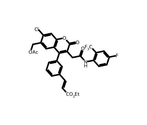 CCOC(=O)C=Cc1cccc(-c2c(CC(=O)Nc3ccc(F)cc3C(F)(F)F)c(=O)oc3cc(Cl)c(COC(C)=O)cc23)c1